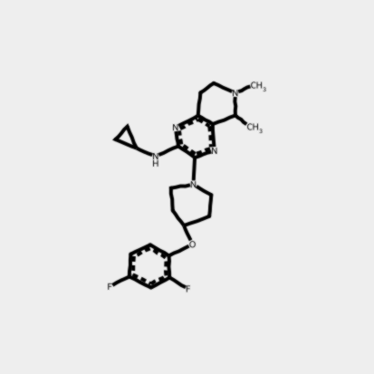 CC1c2nc(N3CCC(Oc4ccc(F)cc4F)CC3)c(NC3CC3)nc2CCN1C